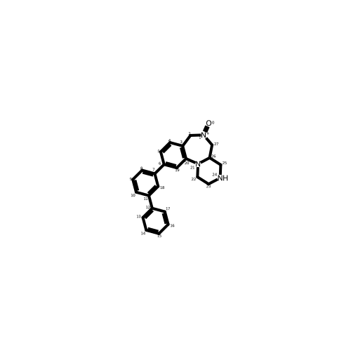 O=[N+]1Cc2ccc(-c3cccc(-c4ccccc4)c3)cc2N2CCNCC2C1